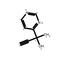 [C]#CC(C)(O)c1ccncn1